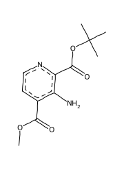 COC(=O)c1ccnc(C(=O)OC(C)(C)C)c1N